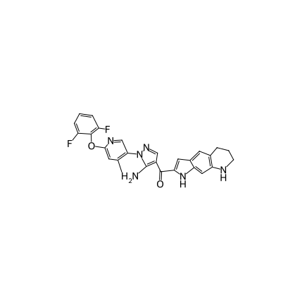 Cc1cc(Oc2c(F)cccc2F)ncc1-n1ncc(C(=O)c2cc3cc4c(cc3[nH]2)NCCC4)c1N